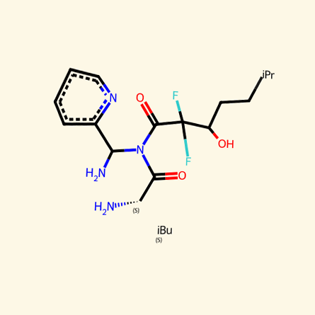 CC[C@H](C)[C@H](N)C(=O)N(C(=O)C(F)(F)C(O)CCC(C)C)C(N)c1ccccn1